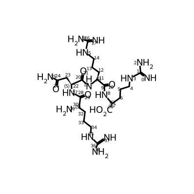 N=C(N)NCCC[C@H](NC(=O)[C@H](CCCNC(=N)N)NC(=O)[C@H](CC(N)=O)NC(=O)[C@@H](N)CCCNC(=N)N)C(=O)O